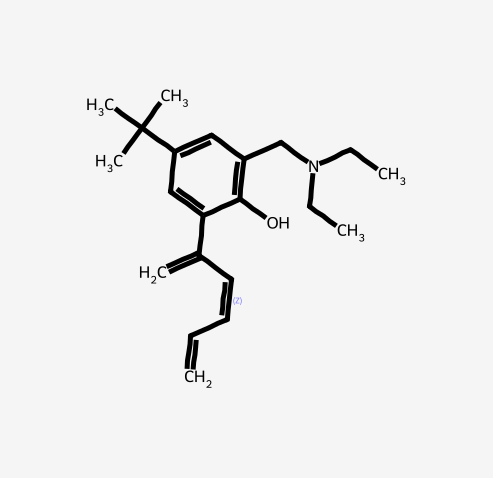 C=C/C=C\C(=C)c1cc(C(C)(C)C)cc(CN(CC)CC)c1O